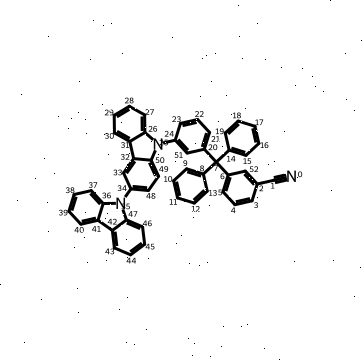 N#Cc1cccc(C(c2ccccc2)(c2ccccc2)c2cccc(-n3c4ccccc4c4cc(-n5c6ccccc6c6ccccc65)ccc43)c2)c1